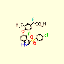 Cc1cc(C(F)C(=O)O)cc(Cl)c1Oc1ccc2[nH]cc(S(=O)(=O)c3ccc(Cl)cc3)c2c1